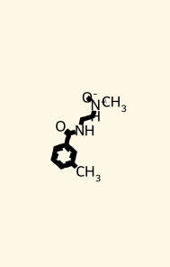 Cc1cccc(C(=O)NCC[NH+](C)[O-])c1